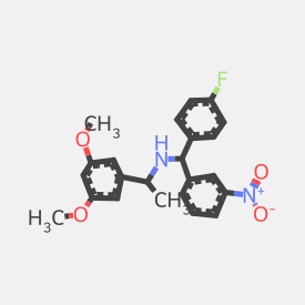 COc1cc(OC)cc(C(C)NC(c2ccc(F)cc2)c2cccc([N+](=O)[O-])c2)c1